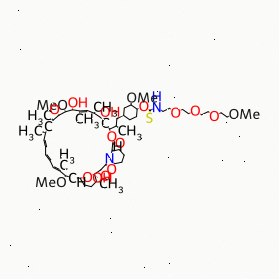 COCCOCCOCCOCCNC(=S)O[C@@H]1CC[C@@H](C[C@@H](C)[C@@H]2C[C@@H](O)[C@H](C)/C=C(\C)[C@@H](O)[C@@H](OC)C(=O)[C@H](C)C[C@H](C)/C=C/C=C/C=C(\C)[C@@H](OC)C[C@@H]3CC[C@@H](C)[C@@](O)(O3)C(=O)C(=O)N3CCCC[C@H]3C(=O)O2)C[C@H]1OC